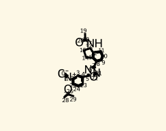 [C-]#[N+]c1cc(-c2nc(-c3cccc4c3CC[C@@H]4NC(C)=O)no2)ccc1OC(C)C